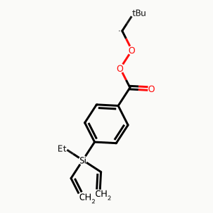 [CH2]C(C)(C)[CH]OOC(=O)c1ccc([Si](C=C)(C=C)CC)cc1